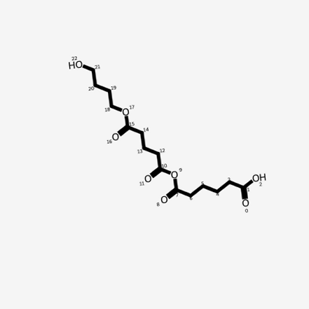 O=C(O)CCCCC(=O)OC(=O)CCCC(=O)OCCCCO